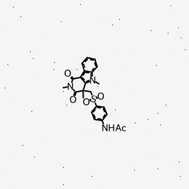 CC(=O)Nc1ccc(S(=O)(=O)CC2(C)C(=O)N(C)C(=O)c3c2n(C)c2ccccc32)cc1